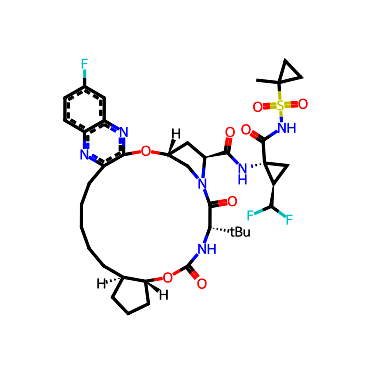 CC(C)(C)[C@@H]1NC(=O)O[C@@H]2CCC[C@H]2CCCCCc2nc3ccc(F)cc3nc2O[C@@H]2C[C@@H](C(=O)N[C@]3(C(=O)NS(=O)(=O)C4(C)CC4)C[C@H]3C(F)F)N(C2)C1=O